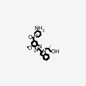 COc1cc(C(=O)N2CCC[C@@H](N)C2)cc2nc(-c3cc4ccccc4n3C[C@H](C)CO)n(C)c12